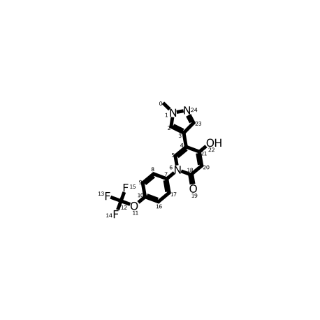 Cn1cc(-c2cn(-c3ccc(OC(F)(F)F)cc3)c(=O)cc2O)cn1